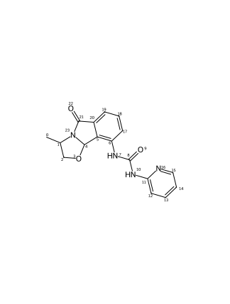 CC1COC2c3c(NC(=O)Nc4ccccn4)cccc3C(=O)N12